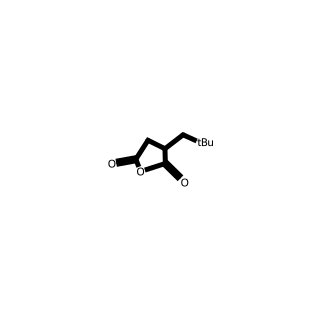 CC(C)(C)CC1CC(=O)OC1=O